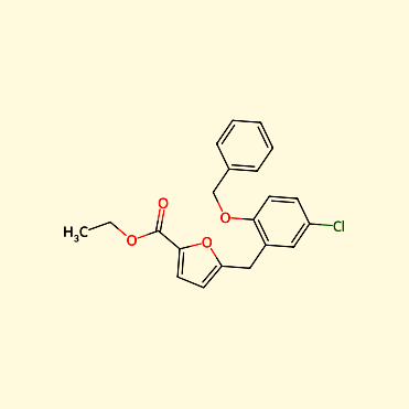 CCOC(=O)c1ccc(Cc2cc(Cl)ccc2OCc2ccccc2)o1